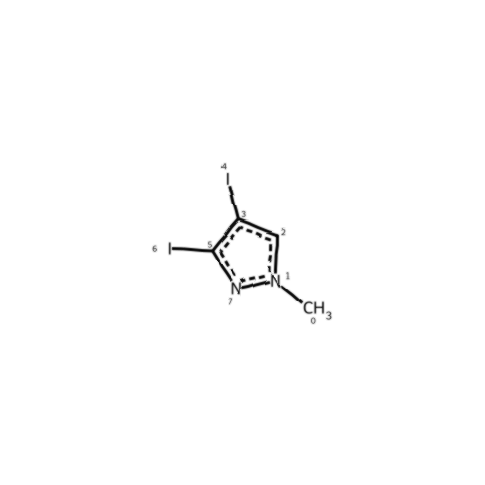 Cn1cc(I)c(I)n1